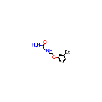 CCc1cccc(OCCNCC(N)=O)c1